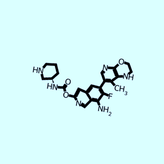 Cc1c(-c2cc3cc(OC(=O)N[C@H]4CCCNC4)ncc3c(N)c2F)cnc2c1NCCO2